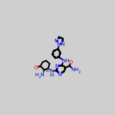 NC(=O)c1cnc(N[C@@H]2CCCC(=O)[C@@H]2N)nc1Nc1cccc(-n2nccn2)c1